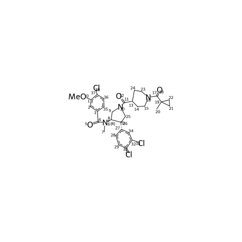 COc1cc(C(=O)N(C)[C@H]2CN(C(=O)C3CCN(C(=O)C4(C)CC4)CC3)C[C@@H]2c2ccc(Cl)c(Cl)c2)ccc1Cl